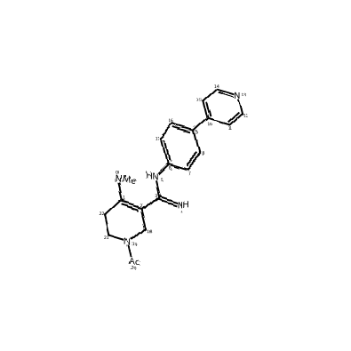 CNC1=C(C(=N)Nc2ccc(-c3ccncc3)cc2)CN(C(C)=O)CC1